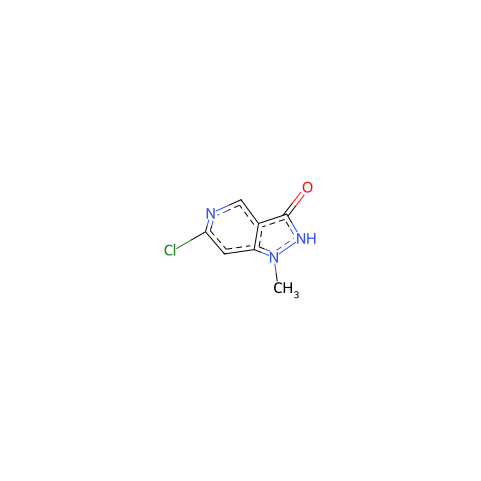 Cn1[nH]c(=O)c2cnc(Cl)cc21